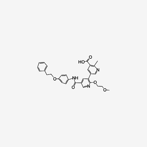 COCCOc1ncc(C(=O)Nc2ccc(OCCc3ccccc3)cc2)cc1-c1cnc(C)c(C(=O)O)c1